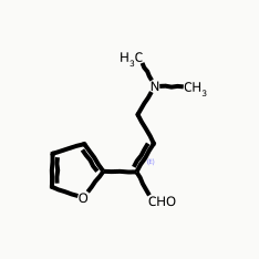 CN(C)C/C=C(/C=O)c1ccco1